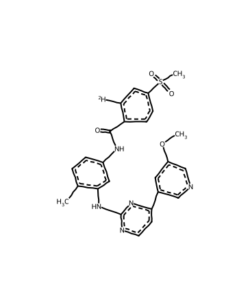 [2H]c1cc(S(C)(=O)=O)ccc1C(=O)Nc1ccc(C)c(Nc2nccc(-c3cncc(OC)c3)n2)c1